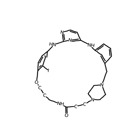 O=C1CCN2CCN(CC2)Cc2cccc(c2)Nc2ccnc(n2)Nc2ccc(c(I)c2)OCCCN1